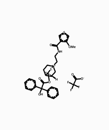 COc1cscc1C(=O)NCC[N+]12CCC(CC1)[C@@H](OC(=O)C(O)(c1ccccc1)c1ccccc1)C2.O=C([O-])C(F)(F)F